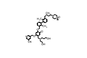 Cc1c(COc2cc(OCc3cncc(C#N)c3)c(CN(CCO)CCCO)cc2Cl)cccc1-c1cccc(CN(C)CCN2CCS(=O)(=O)CC2)c1C